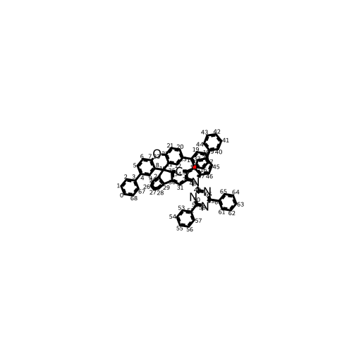 c1ccc(-c2ccc3c(c2)C2(c4cc(-c5ccccc5)ccc4O3)c3ccccc3-c3cc4c(cc32)c2cc(-c3ccccc3)ccc2n4-c2nc(-c3ccccc3)nc(-c3ccccc3)n2)cc1